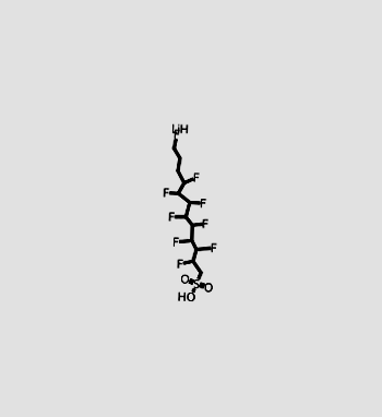 O=S(=O)(O)CC(F)C(F)C(F)C(F)C(F)C(F)C(F)C(F)CCCF.[LiH]